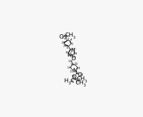 C[S+]([O-])c1ccc(-c2cnc(OCC3CCN(C(=O)OC(C)(C)C)CC3)cn2)cc1